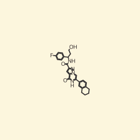 O=C(NC(CCO)c1ccc(F)cc1)c1cc2c(=O)[nH]c(-c3ccc4c(c3)CCCC4)cn2n1